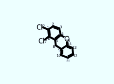 Clc1ccc2c(c1Cl)Cc1ccccc1O2